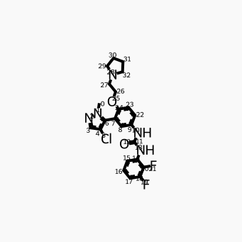 Cn1ncc(Cl)c1-c1cc(NC(=O)Nc2cccc(F)c2F)ccc1OCCN1CCCC1